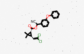 CC1(C)[C@H](C=C(Cl)Cl)[C@H]1C(=O)OC(C#N)c1cccc(Oc2ccccc2)c1